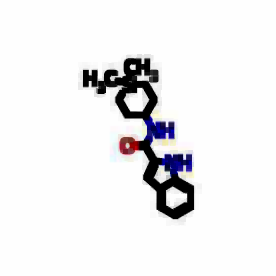 C[Si]1(C)CCC(NC(=O)c2cc3ccccc3[nH]2)CC1